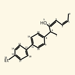 C/C=C\C=C(\O)C(C)c1ccc(-c2ccc(CC)cc2)cc1